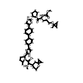 CNC(C(=O)N1C(C)CCC1c1nc(-c2ccc(-c3ccc(-c4c[nH]c([C@@H]5CCCN5C(=O)[C@H](CCCOC5(C)CC5)NC(=O)OC)n4)cc3)cc2)c[nH]1)C1CCOC2(CC2)C1